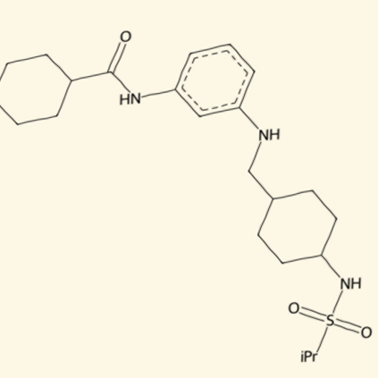 CC(C)S(=O)(=O)NC1CCC(CNc2cccc(NC(=O)C3CCCCC3)c2)CC1